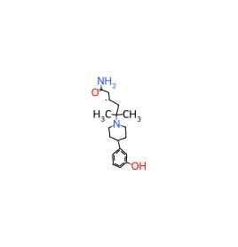 CC(C)(C[CH]CC(N)=O)N1CCC(c2cccc(O)c2)CC1